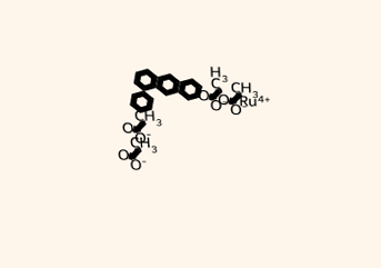 C1CCCCC1.C1CCCCC1.C1CCCCC1.C1CCCCC1.CCC(=O)[O-].CCC(=O)[O-].CCC(=O)[O-].CCC(=O)[O-].[Ru+4]